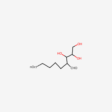 CCCCCCCCCCCCC(C=O)C(O)C(O)CO